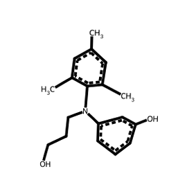 Cc1cc(C)c(N(CCCO)c2cccc(O)c2)c(C)c1